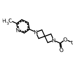 Cc1ccc(N2CC3(CN(C(=O)OC(C)(C)C)C3)C2)cn1